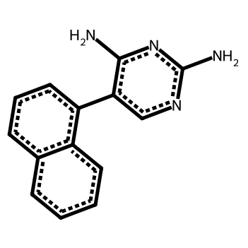 Nc1ncc(-c2cccc3ccccc23)c(N)n1